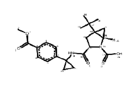 COC(=O)c1ccc(C2(NC(=O)[C@H]3CC4(C(C)(C)C)C[C@@H]4N3C(=O)O)CC2)cc1